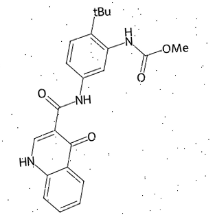 COC(=O)Nc1cc(NC(=O)c2c[nH]c3ccccc3c2=O)ccc1C(C)(C)C